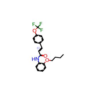 CCCCOc1ccccc1NC(=O)/C=C/c1ccc(OC(F)(F)F)cc1